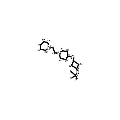 CC(C)(C)OC1CC(OC2CCN(CCN3CCCCC3)CC2)C1